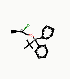 C#C[C@@H](Br)CO[Si](c1ccccc1)(c1ccccc1)C(C)(C)C